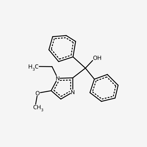 CCn1c(OC)cnc1C(O)(c1ccccc1)c1ccccc1